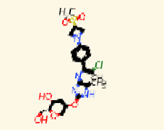 C=C1NC(O[C@H]2CO[C@H](CO)[C@@H](O)C2)=N/C1=N/C(=C(\C)Cl)c1ccc(N2CC(S(C)(=O)=O)C2)cc1